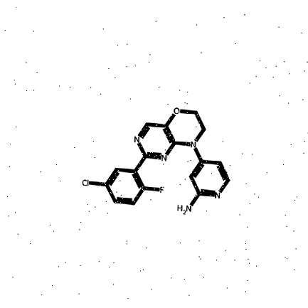 Nc1cc(N2CCOc3cnc(-c4cc(Cl)ccc4F)nc32)ccn1